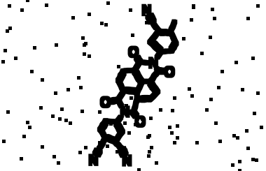 Cc1ccc(N2C(=O)c3ccc4c5c(ccc(c35)C2=O)C(=O)N(c2ccc(C#N)c(C#N)c2)C4=O)cc1C#N